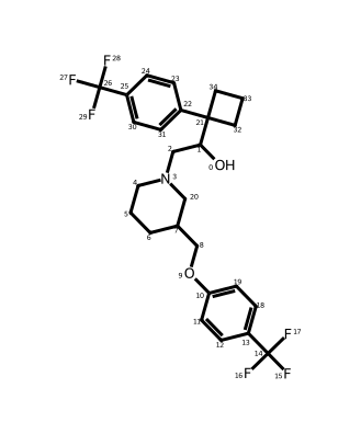 OC(CN1CCCC(COc2ccc(C(F)(F)F)cc2)C1)C1(c2ccc(C(F)(F)F)cc2)CCC1